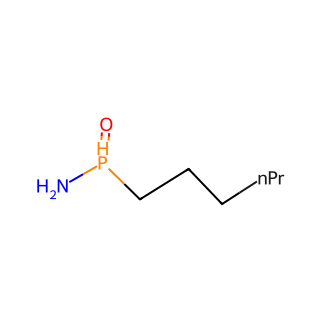 CCCCCC[PH](N)=O